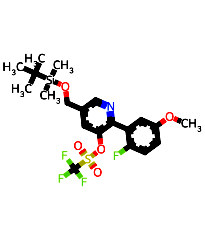 COc1ccc(F)c(-c2ncc(CO[Si](C)(C)C(C)(C)C)cc2OS(=O)(=O)C(F)(F)F)c1